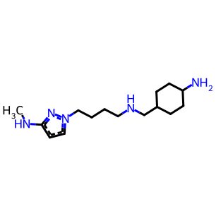 CNc1ccn(CCCCNCC2CCC(N)CC2)n1